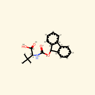 CC(C)(C)[C@H](NC(=O)OC1c2ccccc2-c2ccccc21)C(=O)O